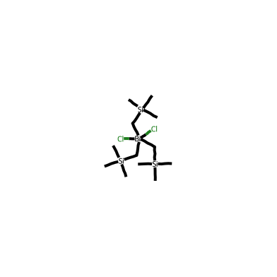 C[Si](C)(C)[CH2][Bi]([Cl])([Cl])([CH2][Si](C)(C)C)[CH2][Si](C)(C)C